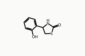 O=C1NC(c2ccccc2O)CS1